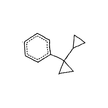 [c]1ccc(C2(C3CC3)CC2)cc1